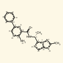 Cc1nn2c([C@@H](C)NC(=O)c3nc(-c4ccccc4)cnc3N)ncc2s1